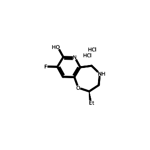 CC[C@@H]1CNCc2nc(O)c(F)cc2O1.Cl.Cl